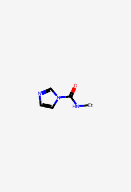 CCNC(=O)n1[c]ncc1